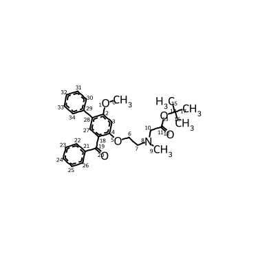 COc1cc(OCCN(C)CC(=O)OC(C)(C)C)c(C(=O)c2ccccc2)cc1-c1ccccc1